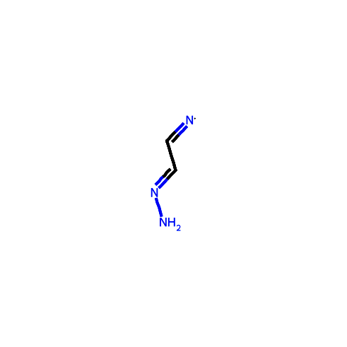 [N]=CC=NN